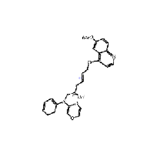 COc1ccc2nccc(OC/C=C/C[C@@H](O)CN(C3=CC=CCC3)C3=COC=CO3)c2c1